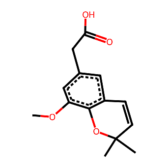 COc1cc(CC(=O)O)cc2c1OC(C)(C)C=C2